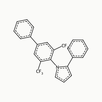 FC(F)(F)c1cc(-c2ccccc2)cc(C(F)(F)F)c1-n1cccc1-c1ccccc1